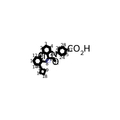 Cc1cccc2c1/C(=C\c1c(Cl)cccc1C1CCC1)C(=O)N2c1ccc(C(=O)O)cc1